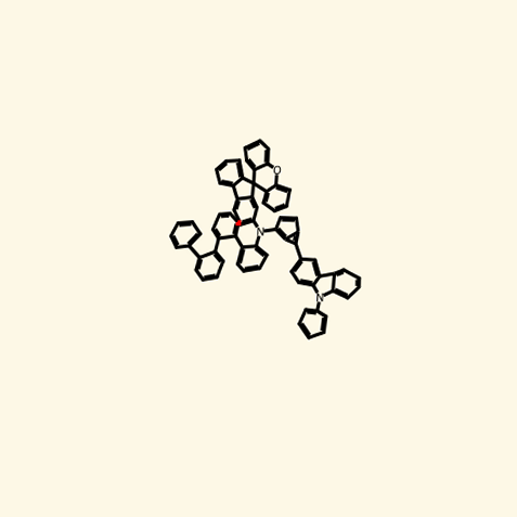 c1ccc(-c2ccccc2-c2ccccc2-c2ccccc2N(c2ccc3c(c2)C2(c4ccccc4Oc4ccccc42)c2ccccc2-3)c2ccc3c(-c4ccc5c(c4)c4ccccc4n5-c4ccccc4)c2-3)cc1